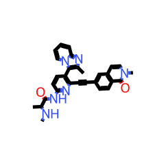 CNC(C)C(=O)Nc1ccc(-c2c(C)nc3ccccn23)c(C#Cc2ccc3c(=O)n(C)ccc3c2)n1